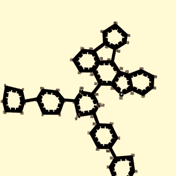 c1ccc(-c2ccc(-c3nc(-c4ccc(-c5ccccc5)cc4)nc(-c4c5cccc6c5c(c5c4oc4ccccc45)-c4ccccc4-6)n3)cc2)cc1